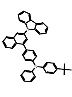 CC(C)(C)c1ccc(N(c2ccccc2)c2ccc(-c3cc(-n4c5ccccc5c5ccccc54)cc4ccccc34)cc2)cc1